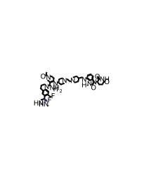 CN/C=C(\C=N)c1cc2c(cc1C(F)F)N(C(N)C1=C(NC3CCN(CCN4CCC(CNc5cccc6c5n(C)c(=O)n6C5CCC(=O)NC5=O)CC4)CC3)CCN(C(C)=O)C1)CCC2